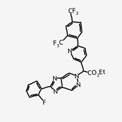 CCOC(=O)C(c1ccc(-c2ccc(C(F)(F)F)cc2C(F)(F)F)nc1)n1cc2nc(-c3ccccc3F)nc-2cn1